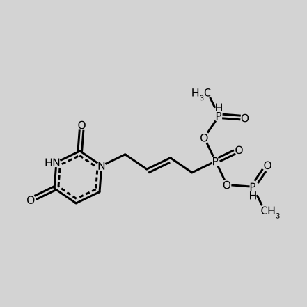 C[PH](=O)OP(=O)(C/C=C/Cn1ccc(=O)[nH]c1=O)O[PH](C)=O